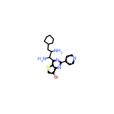 NC(CC1CCCCC1)C(N)c1nc(-c2ccncc2)nc2c(Br)csc12